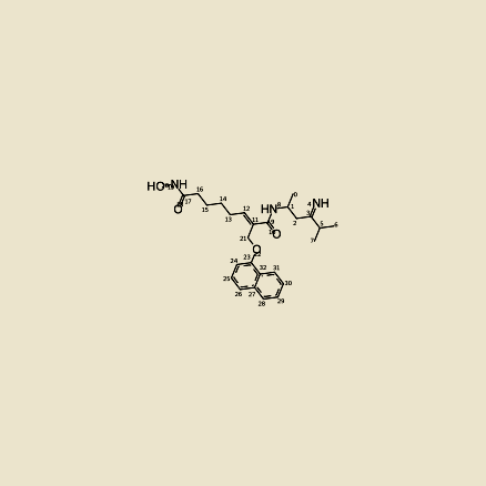 CC(CC(=N)C(C)C)NC(=O)/C(=C/CCCCC(=O)NO)COc1cccc2ccccc12